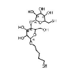 OCC1O[C@@H](OCCCCCS)C(O)[C@@H](O)[C@H]1O[C@@H]1OC(CS)[C@H](O)C(O)[C@@H]1O